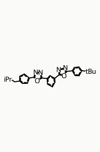 CC(C)Cc1ccc(-c2nnc(-c3cccc(-c4nnc(-c5ccc(C(C)(C)C)cc5)o4)c3)o2)cc1